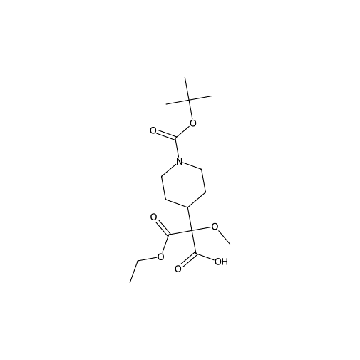 CCOC(=O)C(OC)(C(=O)O)C1CCN(C(=O)OC(C)(C)C)CC1